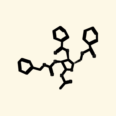 CC(=O)OC1S[C@@H](COC(=O)c2ccccc2)[C@H](OC(=O)c2ccccc2)[C@@H]1OC(=O)OCc1ccccc1